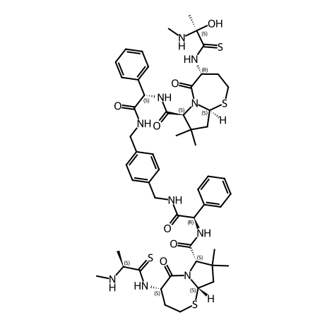 CN[C@@H](C)C(=S)N[C@H]1CCS[C@H]2CC(C)(C)[C@@H](C(=O)N[C@@H](C(=O)NCc3ccc(CNC(=O)[C@@H](NC(=O)[C@H]4N5C(=O)[C@H](NC(=S)[C@](C)(O)NC)CCS[C@H]5CC4(C)C)c4ccccc4)cc3)c3ccccc3)N2C1=O